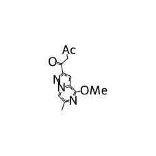 COc1nc(C)cn2nc(C(=O)CC(C)=O)cc12